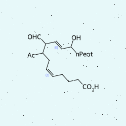 CCCCCC(O)/C=C/C(C=O)C(C/C=C\CCCC(=O)O)C(C)=O